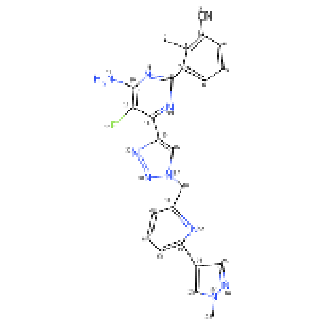 Cc1c(C#N)cccc1-c1nc(N)c(F)c(-c2cn(Cc3cccc(-c4cnn(C)c4)n3)nn2)n1